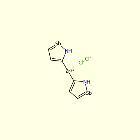 [CH]1=[Sb][NH][C]([Zr+2][C]2=C[CH]=[Sb][NH]2)=C1.[Cl-].[Cl-]